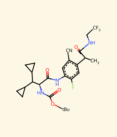 CC(C(=O)NCC(F)(F)F)c1cc(F)c(NC(=O)[C@@H](NC(=O)OC(C)(C)C)C(C2CC2)C2CC2)cc1C#N